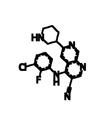 N#Cc1cnc2cnc(C3CCCNC3)cc2c1Nc1cccc(Cl)c1F